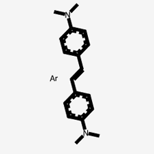 CN(C)c1ccc(C=Cc2ccc(N(C)C)cc2)cc1.[Ar]